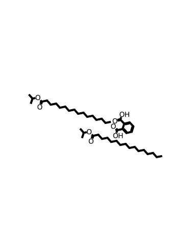 CCCCCCCCCCCCCCCC(=O)OC(C)C.CCCCCCCCCCCCCCCC(=O)OC(C)C.O=C(O)c1ccccc1C(=O)O